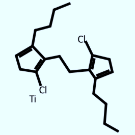 CCCCC1=CCC(Cl)=C1CCC1=C(Cl)CC=C1CCCC.[Ti]